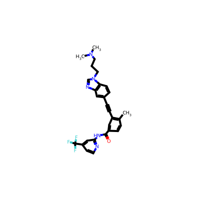 Cc1ccc(C(=O)Nc2cc(C(F)(F)F)ccn2)cc1C#Cc1ccc2c(c1)ncn2CCCN(C)C